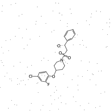 [O][C@@H](CS(=O)(=O)N1CCC(Oc2ccc(Cl)cc2F)CC1)c1ccccc1